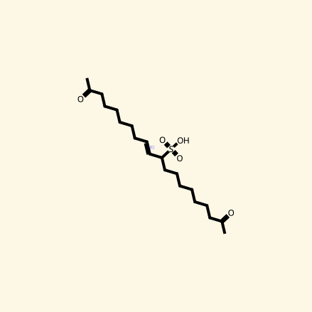 CC(=O)CCCCCC/C=C/C(CCCCCCCC(C)=O)S(=O)(=O)O